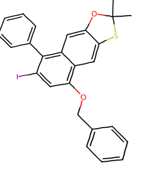 CC1(C)Oc2cc3c(-c4ccccc4)c(I)cc(OCc4ccccc4)c3cc2S1